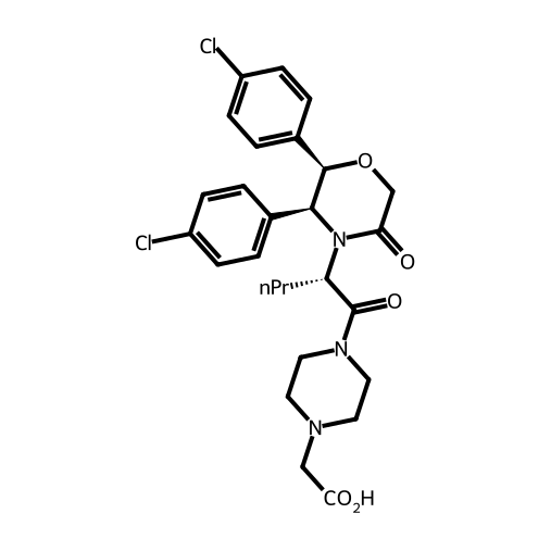 CCC[C@@H](C(=O)N1CCN(CC(=O)O)CC1)N1C(=O)CO[C@H](c2ccc(Cl)cc2)[C@@H]1c1ccc(Cl)cc1